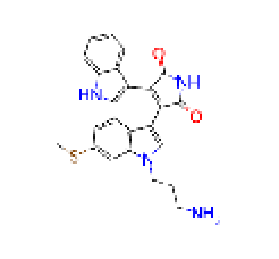 CSc1ccc2c(C3=C(c4c[nH]c5ccccc45)C(=O)NC3=O)cn(CCCN)c2c1